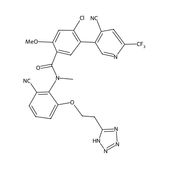 COc1cc(Cl)c(-c2cnc(C(F)(F)F)cc2C#N)cc1C(=O)N(C)c1c(C#N)cccc1OCCc1nnn[nH]1